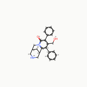 O=c1c(-c2ccccc2)c(CO)c(-c2ccccc2)c2n1CC1CNCC2C1